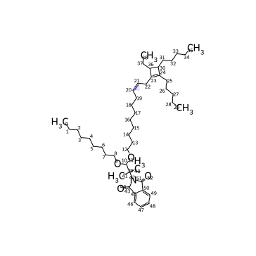 CCCCCCCCCOC(OCCCCCCCC/C=C\CC1=C(CCCCC)C(CCCCC)C1CC)C(C)(C)N1C(=O)c2ccccc2C1=O